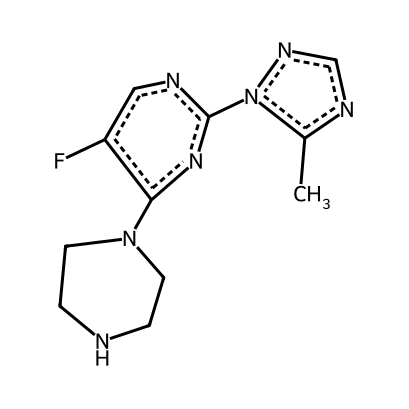 Cc1ncnn1-c1ncc(F)c(N2CCNCC2)n1